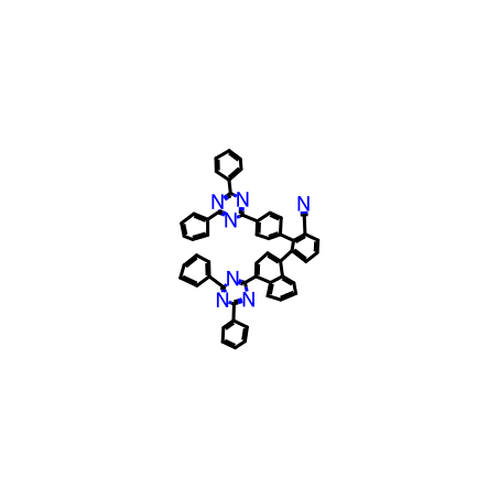 N#Cc1cccc(-c2ccc(-c3nc(-c4ccccc4)nc(-c4ccccc4)n3)c3ccccc23)c1-c1ccc(-c2nc(-c3ccccc3)nc(-c3ccccc3)n2)cc1